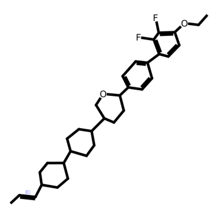 C/C=C/C1CCC(C2CCC(C3CCC(c4ccc(-c5ccc(OCC)c(F)c5F)cc4)OC3)CC2)CC1